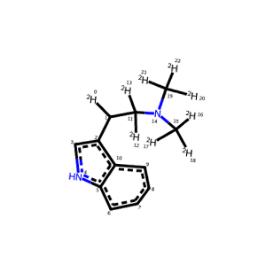 [2H]C(c1c[nH]c2ccccc12)C([2H])([2H])N(C([2H])([2H])[2H])C([2H])([2H])[2H]